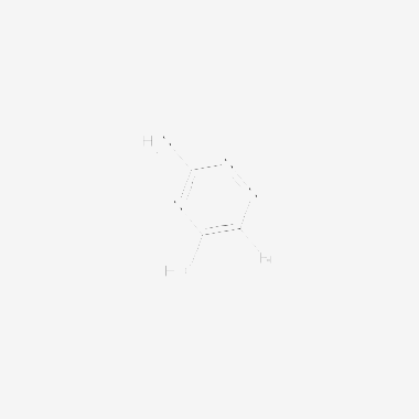 Cc1nc(N)nnc1Br